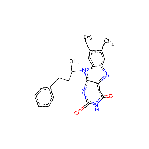 Cc1cc2nc3c(=O)[nH]c(=O)nc-3n(C(C)CCc3ccccc3)c2cc1C